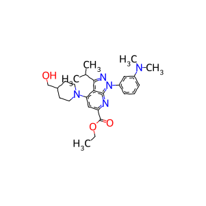 CCOC(=O)c1cc(N2CCC(CO)CC2)c2c(C(C)C)nn(-c3cccc(N(C)C)c3)c2n1